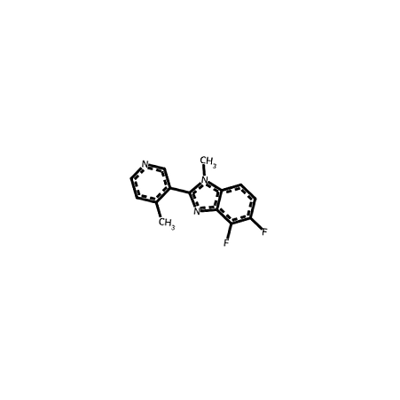 Cc1ccncc1-c1nc2c(F)c(F)ccc2n1C